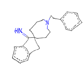 N=C1c2ccccc2CC12CCN(Cc1ccccc1)CC2